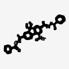 CCC1(CC)c2cc(/C(C)=N/OC(=O)c3ccccc3)ccc2-c2c([N+](=O)[O-])cc(/C(C)=N/OC(=O)c3ccccc3)cc21